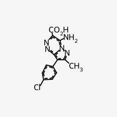 Cc1nn2c(N)c(C(=O)O)nnc2c1-c1ccc(Cl)cc1